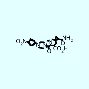 CN1CC2(CC(C(=O)O)C1C(=O)N1CCN(c3ccc([N+](=O)[O-])cc3)CC1)CC2C(N)=O